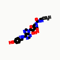 O=C(O)CNC(=O)NCC1OC(n2cnc3c(NCc4ccc(O)cc4)ncnc32)C(O)C1O